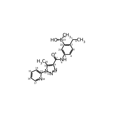 CCc1ccc(NC(=O)c2nnn(-c3ccccn3)c2C)cc1B(C)O